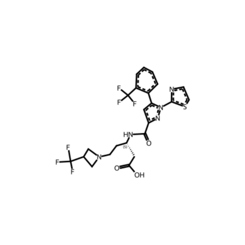 O=C(O)C[C@H](CCN1CC(C(F)(F)F)C1)NC(=O)c1cc(-c2ccccc2C(F)(F)F)n(-c2nccs2)n1